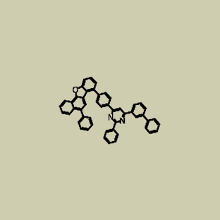 c1ccc(-c2cccc(-c3cc(-c4ccc(-c5cccc6oc7c8ccccc8c(-c8ccccc8)cc7c56)cc4)nc(-c4ccccc4)n3)c2)cc1